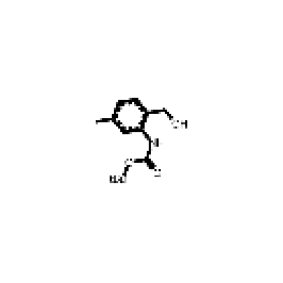 Cc1ccc(CO)c(NC(=O)OC(C)(C)C)c1